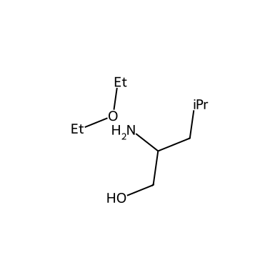 CC(C)CC(N)CO.CCOCC